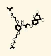 C=C(C)OCOCCOc1ccc(OCCOCOC(=C)C)c(NC(=O)COc2ccc3c(c2)OC(=O)CC3=O)c1